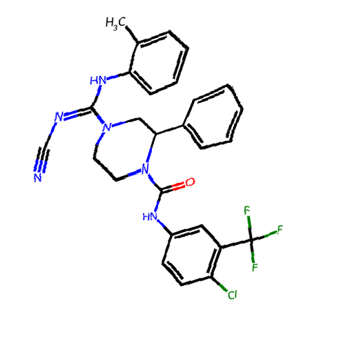 Cc1ccccc1N/C(=N/C#N)N1CCN(C(=O)Nc2ccc(Cl)c(C(F)(F)F)c2)C(c2ccccc2)C1